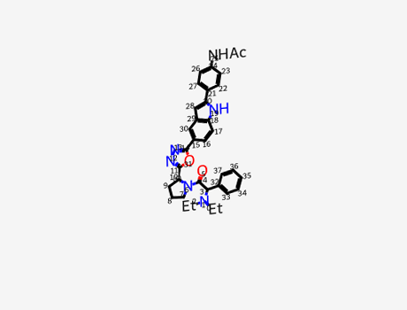 CCN(CC)C(C(=O)N1CCC[C@H]1c1nnc(-c2ccc3[nH]c(-c4ccc(NC(C)=O)cc4)cc3c2)o1)c1ccccc1